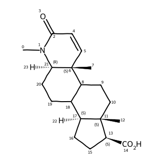 CN1C(=O)C=C[C@]2(C)C3CC[C@]4(C)[C@@H](C(=O)O)CC[C@H]4C3CC[C@@H]12